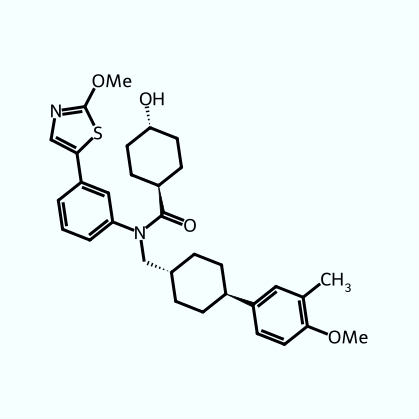 COc1ncc(-c2cccc(N(C[C@H]3CC[C@H](c4ccc(OC)c(C)c4)CC3)C(=O)[C@H]3CC[C@H](O)CC3)c2)s1